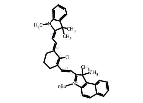 CCCC[N+]1=C(/C=C/C2=C(Cl)C(=C/C=C3/N(C)c4ccccc4C3(C)C)/CCC2)C(C)(C)c2c1ccc1ccccc21